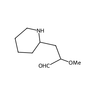 COC(C=O)CC1CCCCN1